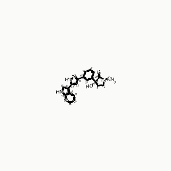 CN1CC[C@@](O)(c2cccc(-c3cc(-c4c[nH]c5ncccc45)[nH]n3)c2)C1=O